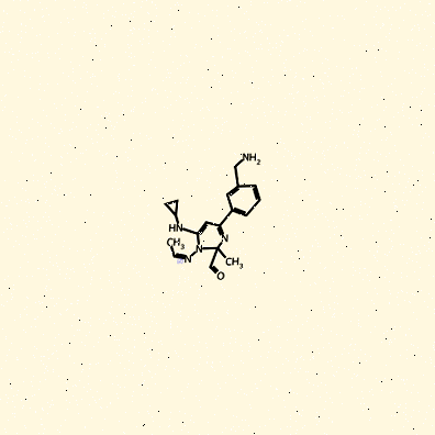 C/C=N\N1C(NC2CC2)=CC(c2cccc(CN)c2)=NC1(C)C=O